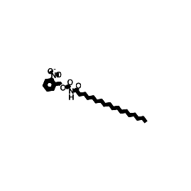 CCCCCCCCCCCCCCCCCC(=O)NC(=O)OCc1ccccc1[N+](=O)[O-]